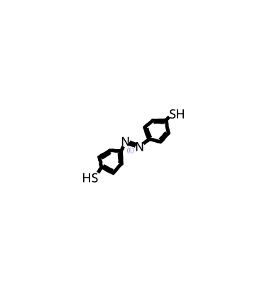 Sc1ccc(/N=N/c2ccc(S)cc2)cc1